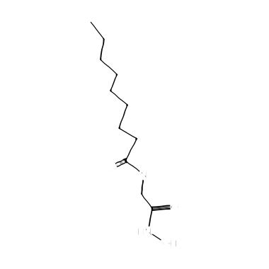 CCCCCCCCC(=O)NCC(=O)NO